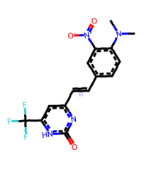 CN(C)c1ccc(/C=C/c2cc(C(F)(F)F)[nH]c(=O)n2)cc1[N+](=O)[O-]